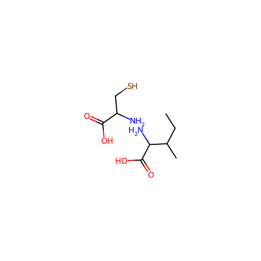 CCC(C)C(N)C(=O)O.NC(CS)C(=O)O